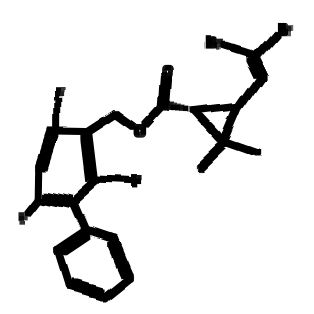 CC1(C)C(C=C(Br)Br)[C@H]1C(=O)OCc1c(F)cc(F)c(-c2ccccc2)c1F